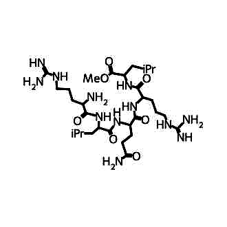 COC(=O)C(CC(C)C)NC(=O)C(CCCNC(=N)N)NC(=O)C(CCC(N)=O)NC(=O)C(CC(C)C)NC(=O)C(N)CCCNC(=N)N